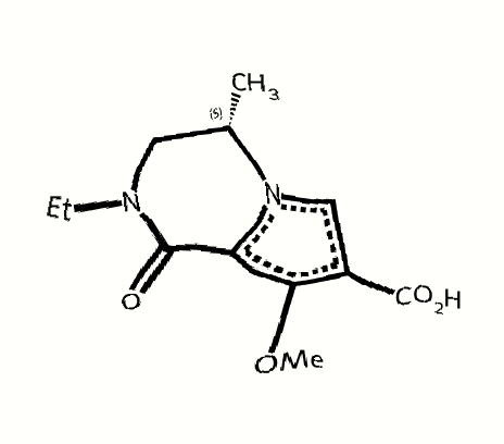 CCN1C[C@H](C)n2cc(C(=O)O)c(OC)c2C1=O